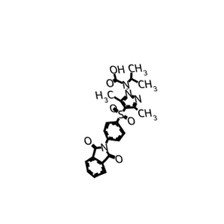 Cc1nn(N(C(=O)O)C(C)C)c(C)c1S(=O)(=O)c1ccc(N2C(=O)c3ccccc3C2=O)cc1